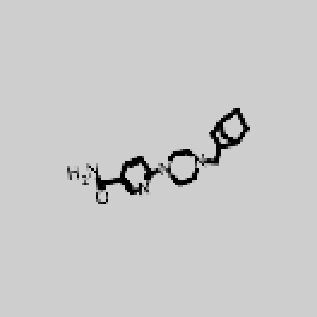 NC(=O)c1ccc(N2CCN(CC3CC4CCC3C4)CC2)nc1